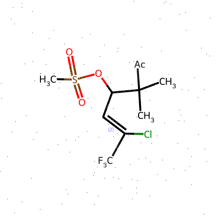 CC(=O)C(C)(C)C(/C=C(\Cl)C(F)(F)F)OS(C)(=O)=O